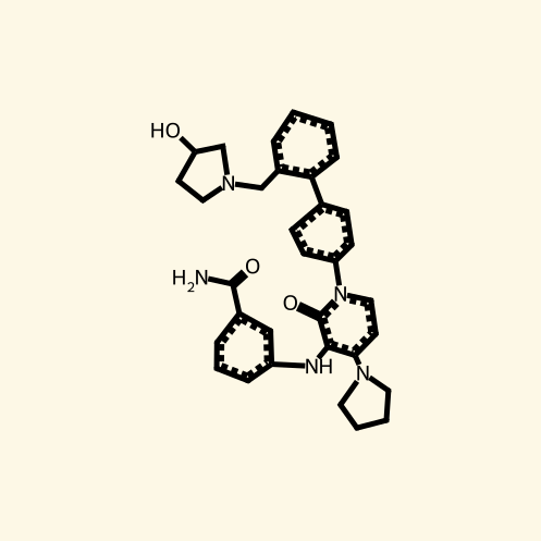 NC(=O)c1cccc(Nc2c(N3CCCC3)ccn(-c3ccc(-c4ccccc4CN4CCC(O)C4)cc3)c2=O)c1